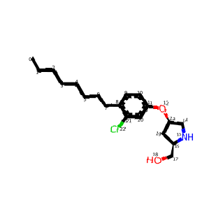 CCCCCCCCc1ccc(O[C@H]2CN[C@@H](CO)C2)cc1Cl